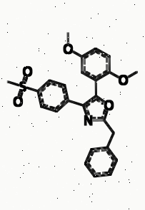 COc1ccc(OC)c(-c2oc(Cc3ccccc3)nc2-c2ccc(S(C)(=O)=O)cc2)c1